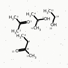 CC(C)=O.CC(C)O.CCC(C)=O.CCO